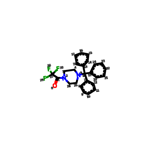 O=C(N1CCN(C(c2ccccc2)(c2ccccc2)c2ccccc2)CC1)C(F)(F)F